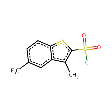 Cc1c(S(=O)(=O)Cl)sc2ccc(C(F)(F)F)cc12